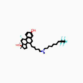 CN(CCCCCCCC(F)(F)C(F)(F)F)CCCCCC1Cc2cc(O)ccc2C2C1C1CC[C@](C)(O)[C@@]1(C)C[C@@H]2F